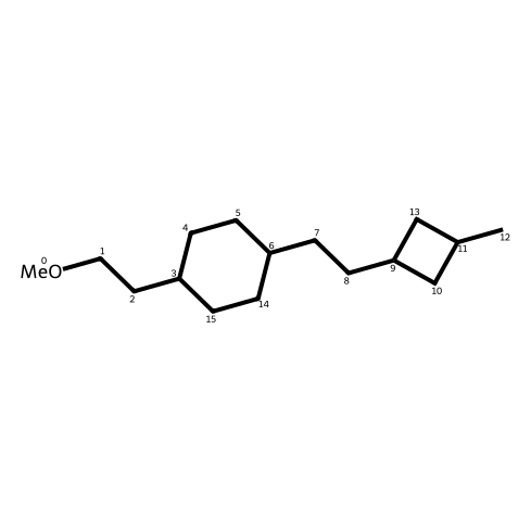 COCCC1CCC(CCC2CC(C)C2)CC1